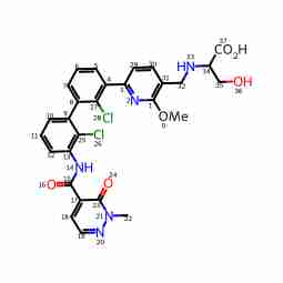 COc1nc(-c2cccc(-c3cccc(NC(=O)c4ccnn(C)c4=O)c3Cl)c2Cl)ccc1CNC(CO)C(=O)O